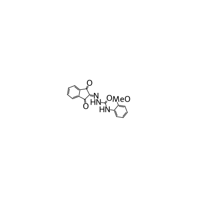 COc1ccccc1NC(=O)NN=c1c(=O)c2ccccc2c1=O